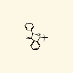 CC(C)(C)Oc1ccccc1C(=O)C(O)c1ccccc1